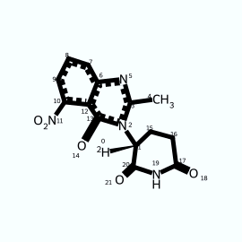 [2H][C@@]1(n2c(C)nc3cccc([N+](=O)[O-])c3c2=O)CCC(=O)NC1=O